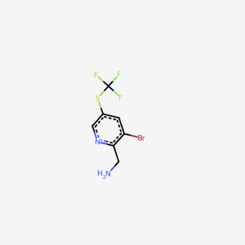 NCc1ncc(SC(F)(F)F)cc1Br